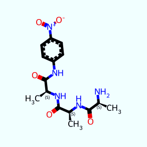 C[C@H](N)C(=O)N[C@@H](C)C(=O)N[C@@H](C)C(=O)Nc1ccc([N+](=O)[O-])cc1